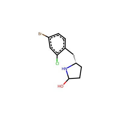 OC1CC[C@@H](Cc2ccc(Br)cc2Cl)N1